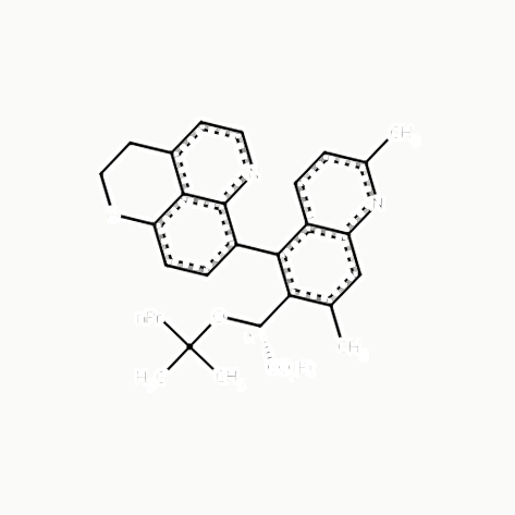 CCCC(C)(C)O[C@@H](C(=O)OCC)c1c(C)cc2nc(C)ccc2c1-c1ccc2c3c(ccnc13)CCO2